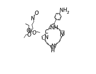 CCO[Si](CCCN=C=O)(OCC)OCC.Nc1ccc(-c2cc3cc4nc(cc5ccc(cc6nc(cc2[nH]3)C=C6)[nH]5)C=C4)cc1